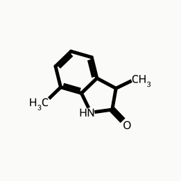 Cc1cccc2c1NC(=O)C2C